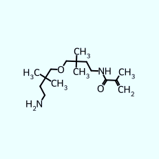 C=C(C)C(=O)NCCC(C)(C)COCC(C)(C)CCN